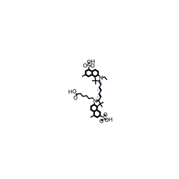 CCN1/C(=C/C=C/C=C/C2=[N+](CCCCCC(=O)O)c3ccc4c(C)cc(S(=O)(=O)O)cc4c3C2(C)C)C(C)(C)c2c1ccc1c(S(=O)(=O)O)cc(C)cc21